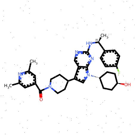 Cc1cc(C(=O)N2CCC(c3cn([C@H]4CC[C@H](O)CC4)c4nc(N[C@@H](C)c5ccc(F)cc5)ncc34)CC2)cc(C)n1